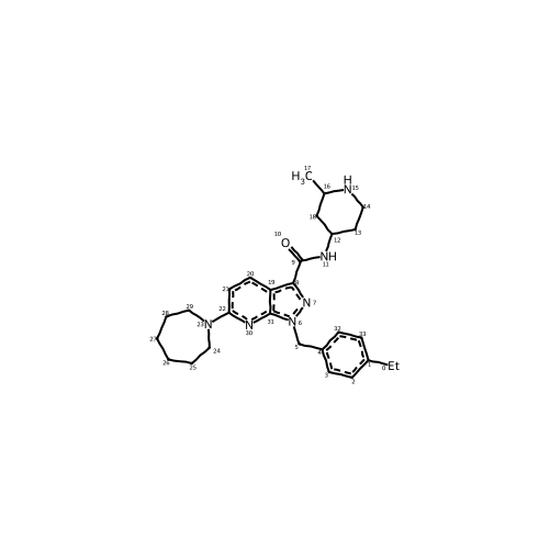 CCc1ccc(Cn2nc(C(=O)NC3CCNC(C)C3)c3ccc(N4CCCCCC4)nc32)cc1